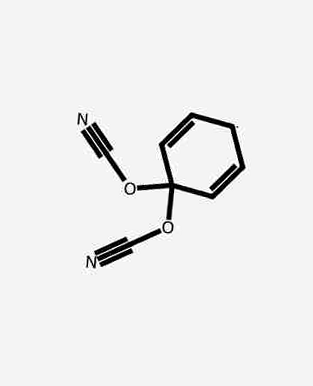 N#COC1(OC#N)C=C[CH]C=C1